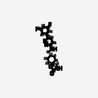 O=C1NC[C@]2(CC[C@@H](CNc3ccc(-c4cc(F)cc(F)c4)nn3)CC2)O1